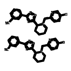 N#Cc1cccc(-c2noc(C3CCCCN3Cc3ccc(Cl)cn3)n2)c1.N#Cc1cccc(-c2noc(C3CCCCN3Cc3ccc(Cl)cn3)n2)c1